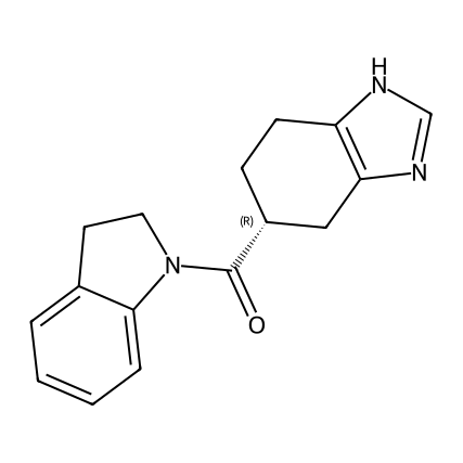 O=C([C@@H]1CCc2[nH]cnc2C1)N1CCc2ccccc21